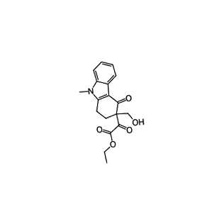 CCOC(=O)C(=O)C1(CO)CCc2c(c3ccccc3n2C)C1=O